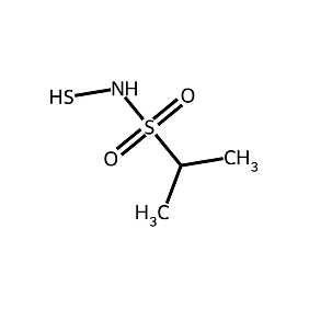 CC(C)S(=O)(=O)NS